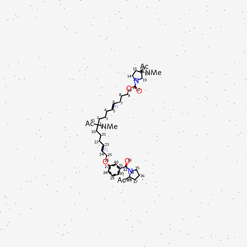 CNC(CCC/C=C/CCCOC(=O)N1CC[C@@](NC)(C(C)=O)C1)(CCC/C=C/COc1cccc(C(=O)N2CCC[C@H]2C(C)=O)c1)C(C)=O